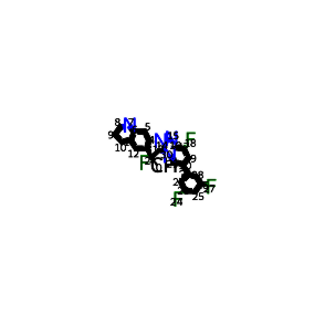 C[C@@](F)(c1ccc2ncccc2c1)c1nnc2c(F)cc(-c3cc(F)cc(F)c3)cn12